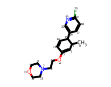 CC1C=C(OCCN2CCOCC2)C=CC1c1ccc(F)nc1